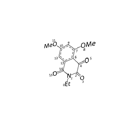 CCN1C(=O)C(=O)c2c(OC)cc(OC)cc2C1=O